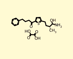 C[C@H](CCc1ccc(C(=O)CCCc2ccccc2)s1)C(N)O.O=C(O)C(=O)O